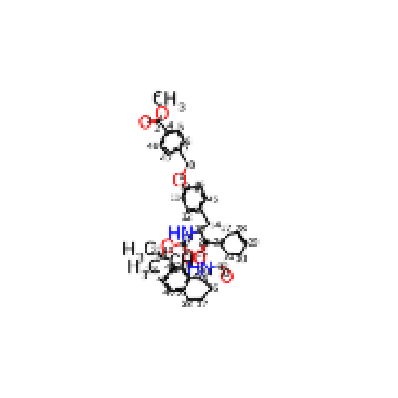 COC(=O)c1ccc(COc2ccc(C[C@H](NC(=O)OC(C)(C)C)C(=O)[C@H]3CC=CC[C@@H]3C(=O)N[C@@H]3CCCc4ccccc43)cc2)cc1